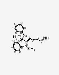 CN1/C(=C\C=C\C=N)C(C)(Cc2ccccc2)c2ccccc21